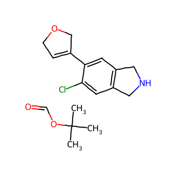 CC(C)(C)OC=O.Clc1cc2c(cc1C1=CCOC1)CNC2